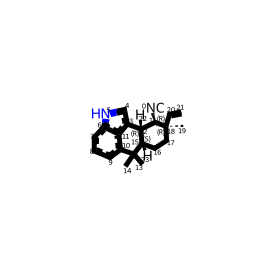 [C-]#[N+][C@@H]1[C@H]2c3c[nH]c4cccc(c34)C(C)(C)[C@H]2CC[C@]1(C)C=C